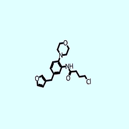 O=C(CCCCl)Nc1cc(Cc2ccoc2)ccc1N1CCOCC1